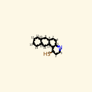 Sc1ccnc2ccc3cc4ccccc4cc3c12